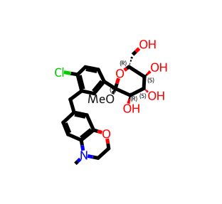 CO[C@@]1(c2ccc(Cl)c(Cc3ccc4c(c3)OCCN4C)c2)O[C@H](CO)[C@@H](O)[C@H](O)[C@H]1O